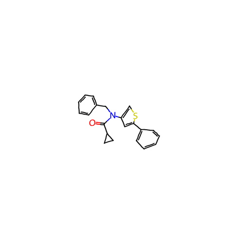 O=C(C1CC1)N(Cc1ccccc1)c1csc(-c2ccccc2)c1